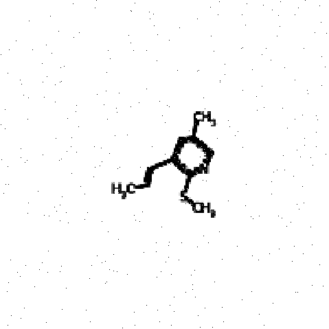 C/C=C/c1cc(C)cnc1SC